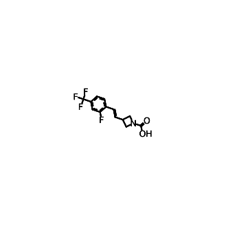 O=C(O)N1CC(C=Cc2ccc(C(F)(F)F)cc2F)C1